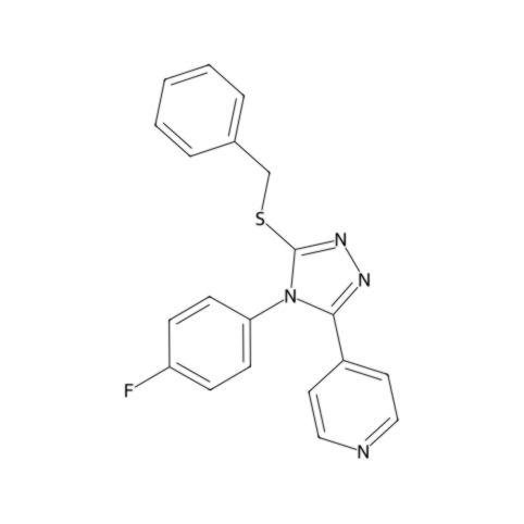 Fc1ccc(-n2c(SCc3ccccc3)nnc2-c2ccncc2)cc1